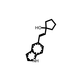 OC1(/C=C/c2ccc3[nH]ccc3c2)CCCC1